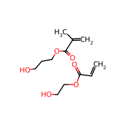 C=C(C)C(=O)OCCCO.C=CC(=O)OCCO